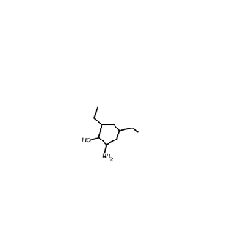 CCC1CC(N)C(O)C(CC)C1